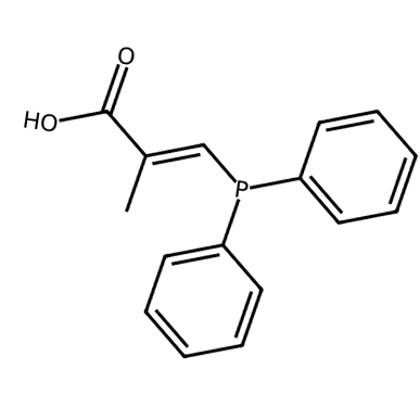 CC(=CP(c1ccccc1)c1ccccc1)C(=O)O